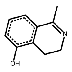 CC1=NCCc2c(O)cccc21